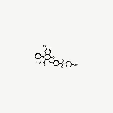 CC(=O)c1c(Cc2ccc(S(=O)(=O)N3CCC(O)CC3)cc2)c(=O)c2ccc(Cl)cc2n1-c1ccccc1